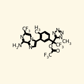 Cc1ccc(C(OC(=O)C(F)(F)F)(c2nnnn2C)C(F)(F)F)cc1-c1cnc2c(N)nc(C(F)(F)F)cn12